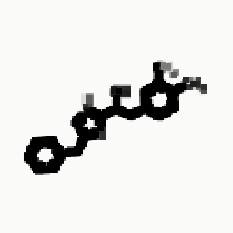 Cc1ccc(CC(O)c2nc(Cc3ccccc3)c[nH]2)cc1C